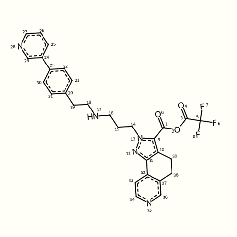 O=C(OC(=O)C(F)(F)F)c1c2c(nn1CCCNCCc1ccc(-c3cccnc3)cc1)-c1ccncc1CC2